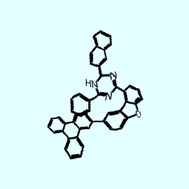 c1ccc(C2=NC(c3cccc4oc5ccc(-c6ccc7c8ccccc8c8ccccc8c7c6)cc5c34)=NC(c3ccc4ccccc4c3)N2)cc1